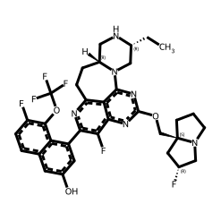 CC[C@@H]1CN2c3nc(OC[C@@]45CCCN4C[C@H](F)C5)nc4c(F)c(-c5cc(O)cc6ccc(F)c(OC(F)(F)F)c56)nc(c34)CC[C@@H]2CN1